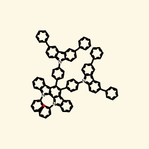 c1ccc(-c2ccc3c(c2)c2cc(-c4ccccc4)ccc2n3-c2ccc(-c3c(-c4ccc(-n5c6ccc(-c7ccccc7)cc6c6cc(-c7ccccc7)ccc65)cc4)c4c5ccccc5n(-c5ccccc5)c4c4c3c3ccccc3n4-c3ccccc3)cc2)cc1